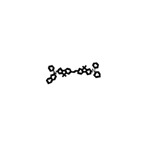 CC1(C)c2cc(/C=C/c3ccc4c(c3)C(C)(C)c3cc(N(c5ccccc5)c5ccc6ccccc6c5)ccc3-4)ccc2-c2ccc(N(c3ccccc3)c3ccccc3)cc21